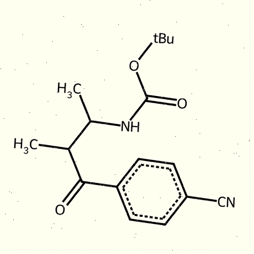 CC(NC(=O)OC(C)(C)C)C(C)C(=O)c1ccc(C#N)cc1